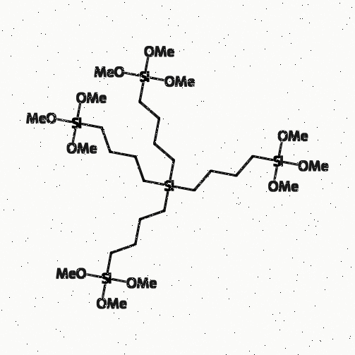 CO[Si](CCCC[Si](CCCC[Si](OC)(OC)OC)(CCCC[Si](OC)(OC)OC)CCCC[Si](OC)(OC)OC)(OC)OC